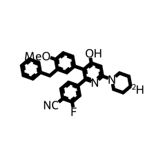 [2H]C1CCN(c2cc(O)c(-c3ccc(OC)c(Cc4ccccc4)c3)c(-c3ccc(C#N)c(F)c3)n2)CC1